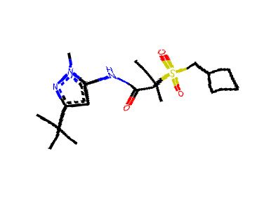 Cn1nc(C(C)(C)C)cc1NC(=O)C(C)(C)S(=O)(=O)CC1CCC1